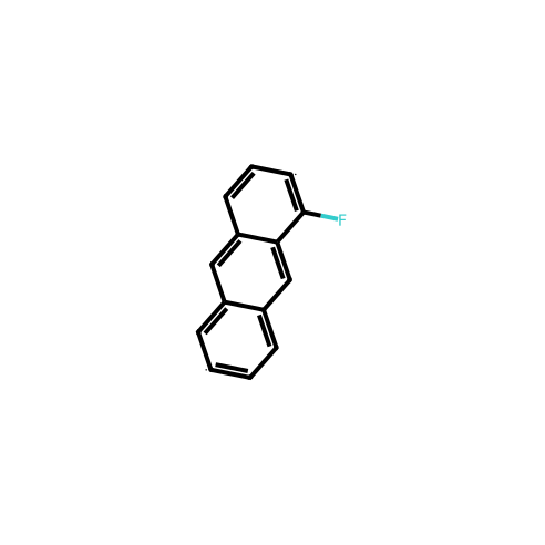 Fc1[c]ccc2cc3c[c]ccc3cc12